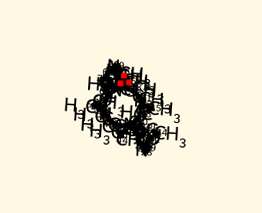 CC(C)CC1CO[C@H](C)CN(C)[C@@H](CC(C)C)CO[C@H](Cc2ccc(Cn3nccc3COC(C)C)cc2)CN(C)[C@@H](CC(C)C)CO[C@H](C)CN(C)[C@@H](CC(C)C)CO[C@H](Cc2ccc(Cn3nccc3COC(C)C)cc2)CN1C